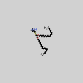 CCCCC/C=C\C/C=C\CCCCCCCCO[C@H](COCCCCCCCC/C=C\CC1=C[C@@H]1CCCC)CSSCc1cnc[nH]1